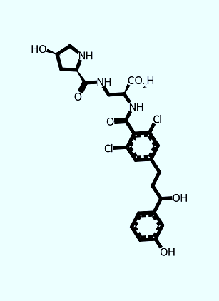 O=C(N[C@@H](CNC(=O)[C@H]1C[C@@H](O)CN1)C(=O)O)c1c(Cl)cc(CCC(O)c2cccc(O)c2)cc1Cl